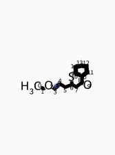 CCO/C=C/CC1CC(=O)c2ccccc2S1